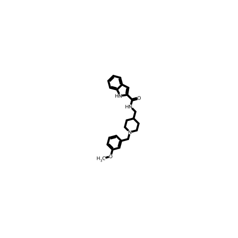 COc1cccc(CN2CCC(CNC(=O)c3cc4ccccc4[nH]3)CC2)c1